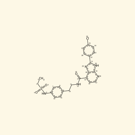 CCS(=O)(=O)Nc1ccc(CCNC(=O)c2ccnc3[nH]c(-c4ccc(Cl)cc4)nc23)cc1